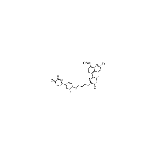 CCc1ccc2c(C3=NN(CCCCOc4ccc(C5=NNC(=O)CC5)cc4F)C(=O)CC3C)ccc(OC)c2n1